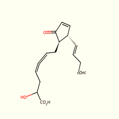 CCCCCCCCCCCC=C[C@H]1C=CC(=O)[C@@H]1CC=C=CCC(O)C(=O)O